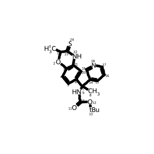 CC1Oc2ccc(C(C)(NC(=O)OC(C)(C)C)c3cccnc3)cc2NC1=S